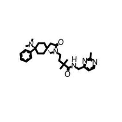 Cc1nccc(CNC(=O)C(C)(C)CCN2C[C@]3(CC[C@](c4ccccc4)(N(C)C)CC3)CC2=O)n1